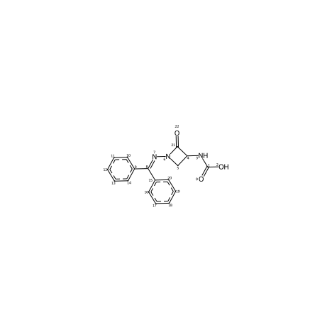 O=C(O)NC1CN(N=C(c2ccccc2)c2ccccc2)C1=O